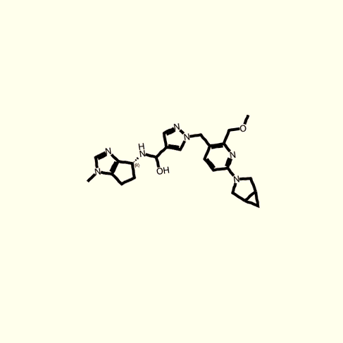 COCc1nc(N2CC3CC3C2)ccc1Cn1cc(C(O)N[C@@H]2CCc3c2ncn3C)cn1